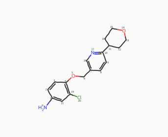 Nc1ccc(OCc2ccc(C3CCOCC3)nc2)c(Cl)c1